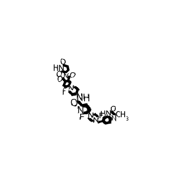 Cc1nc2ccc(CN3CCN(c4ccc(C(=O)NC5CCN(c6cc7c(cc6F)C(=O)N(C6CCC(=O)NC6=O)C7=O)CC5)nc4F)CC3)c(F)c2[nH]c1=O